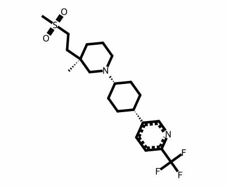 C[C@]1(CCS(C)(=O)=O)CCCN([C@H]2CC[C@@H](c3ccc(C(F)(F)F)nc3)CC2)C1